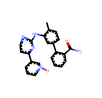 Cc1ccc(-c2ccccc2C(N)=O)cc1Nc1nccc(-c2ccc[n+]([O-])c2)n1